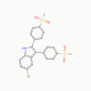 CS(=O)(=O)c1ccc(-c2[nH]c3ccc(Cl)cc3c2-c2ccc(S(C)(=O)=O)cc2)cc1